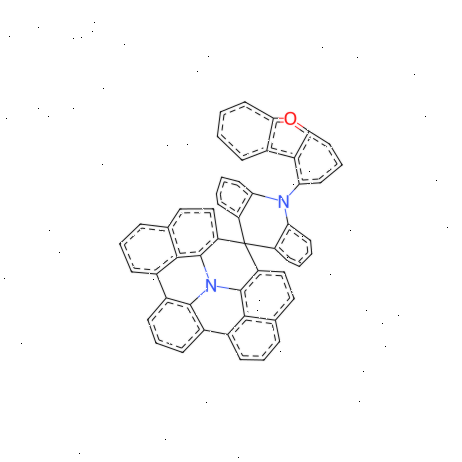 c1cc2c3c(c1)-c1cccc4ccc5c(c14)N3c1c(ccc3cccc-2c13)C51c2ccccc2N(c2cccc3oc4ccccc4c23)c2ccccc21